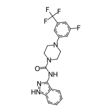 O=C(Nc1n[nH]c2ccccc12)N1CCN(c2cc(F)cc(C(F)(F)F)c2)CC1